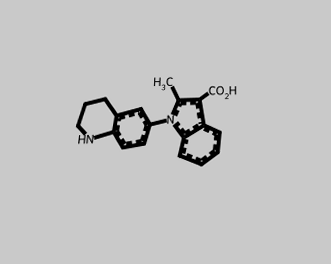 Cc1c(C(=O)O)c2ccccc2n1-c1ccc2c(c1)CCCN2